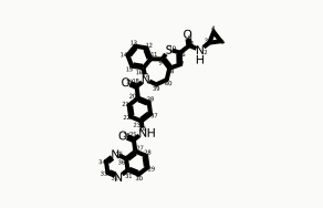 O=C(NC1CC1)c1cc2c(s1)-c1ccccc1N(C(=O)c1ccc(NC(=O)c3cccc4nccnc34)cc1)CC2